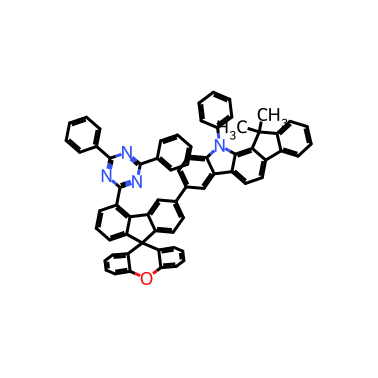 CC1(C)c2ccccc2-c2ccc3c4cc(-c5ccc6c(c5)-c5c(-c7nc(-c8ccccc8)nc(-c8ccccc8)n7)cccc5C65c6ccccc6Oc6ccccc65)ccc4n(-c4ccccc4)c3c21